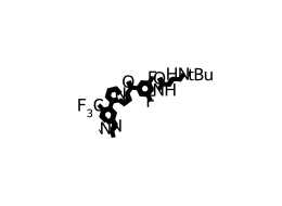 Cc1nc2cc(-c3cccn4c(C(=O)c5cc(F)c(NC(=O)/C=C/CNC(C)(C)C)c(F)c5)ccc34)c(C(F)(F)F)cc2n1C